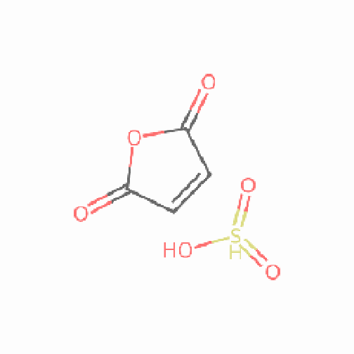 O=C1C=CC(=O)O1.O=[SH](=O)O